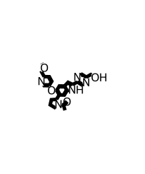 COCc1ccc(Oc2cc3cc(-c4cnc(CO)cn4)[nH]c3cc2C2CCCN2C(C)=O)cn1